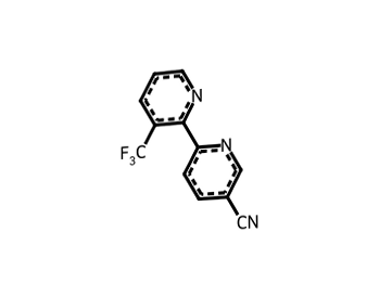 N#Cc1ccc(-c2ncccc2C(F)(F)F)nc1